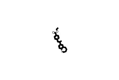 CCOC(=O)c1ccc(/C=C(\C)c2ccc3c(c2)CCCCS3)cc1